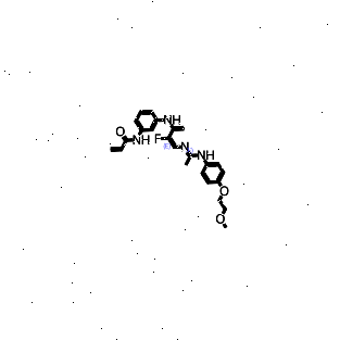 C=CC(=O)Nc1cccc(NC(=C)/C(F)=C\N=C(/C)Nc2ccc(OCCOC)cc2)c1